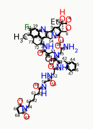 CC[C@@]1(O)C(=O)OCc2c1cc1n(c2=O)Cc2c-1nc1cc(F)c(C)c3c1c2[C@@H](NC(=O)[C@H](C)CN(CC(N)=O)C(=O)[C@H](Cc1ccccc1)NC(=O)CNC(=O)CNC(=O)CCCCCN1C(=O)C=CC1=O)CC3